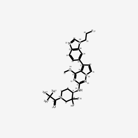 [2H]C([2H])([2H])C(=O)N1CC[C@@H](Nc2nc(OC)c3c(-c4ccc5ncn(CCF)c5c4)ccn3n2)C(F)(F)C1